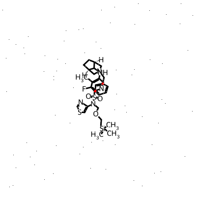 Cc1c(NC2[C@@H]3CC[C@H]2CN(Cc2ccccc2)C3)cnc(S(=O)(=O)N(COCC[Si](C)(C)C)c2cscn2)c1F